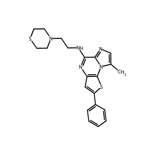 Cc1cnc2c(NCCN3CCSCC3)nc3cc(-c4ccccc4)sc3n12